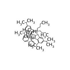 CCC[CH2][Hf]1([CH2]CCC)[CH]2C(C)=C(c3c(C(C)C)cc(C(C)C)cc32)[Si](c2ccccc2)(c2ccccc2)C2=C(C)[CH]1c1cc(C(C)C)cc(C(C)C)c12